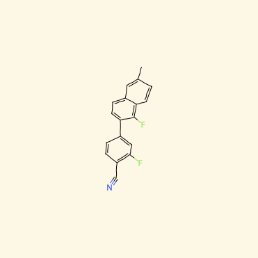 Cc1ccc2c(F)c(-c3ccc(C#N)c(F)c3)ccc2c1